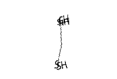 S=C(S)CCCCCCCCCCCCCCCCCCCCCCCCCCCCCCNC(=S)S